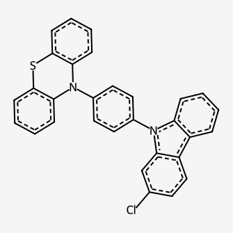 Clc1ccc2c3ccccc3n(-c3ccc(N4c5ccccc5Sc5ccccc54)cc3)c2c1